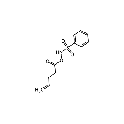 C=CCCC(=O)ONS(=O)(=O)c1ccccc1